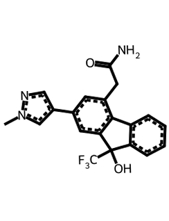 Cn1cc(-c2cc(CC(N)=O)c3c(c2)C(O)(C(F)(F)F)c2ccccc2-3)cn1